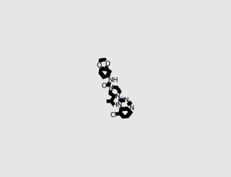 CC(C)C1CN(C(=O)Nc2ccc3c(c2)OCCO3)CCN1/C(=N/C#N)Nc1ccccc1Cl